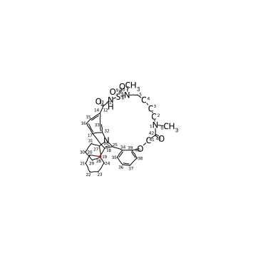 CN1CCCCN(C)S(=O)(=O)NC(=O)c2ccc3c(C4CCCCC4)c(n(C4CCCC4)c3c2)-c2ccccc2OCC1=O